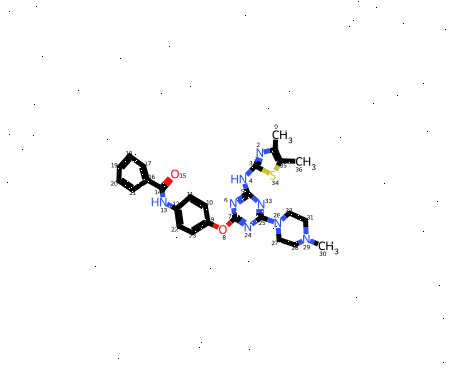 Cc1nc(Nc2nc(Oc3ccc(NC(=O)c4ccccc4)cc3)nc(N3CCN(C)CC3)n2)sc1C